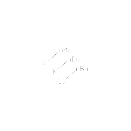 CCC[CH2][Cs].CCC[CH2][K].[Li][CH2]CCC